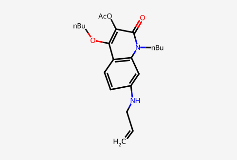 C=CCNc1ccc2c(OCCCC)c(OC(C)=O)c(=O)n(CCCC)c2c1